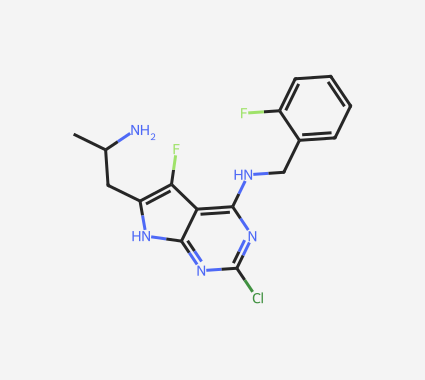 CC(N)Cc1[nH]c2nc(Cl)nc(NCc3ccccc3F)c2c1F